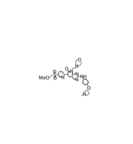 COCCS(=O)(=O)c1ccc(-c2cc3cnc(Nc4ccc(OC5CCN(C)C5)cc4)nc3n(CCN3CCOCC3)c2=O)nc1